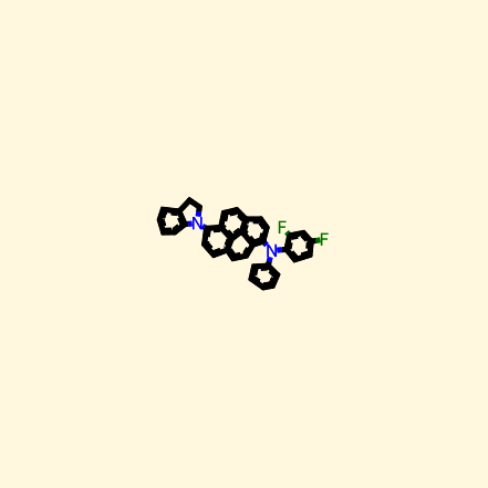 Fc1ccc(N(c2ccccc2)c2ccc3ccc4c(N5CCc6ccccc65)ccc5ccc2c3c54)c(F)c1